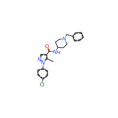 Cc1c(C(=O)NC2CCN(Cc3ccccc3)CC2)cnn1-c1ccc(Cl)cc1